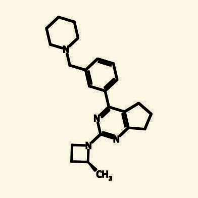 C[C@H]1CCN1c1nc2c(c(-c3cccc(CN4CCCCC4)c3)n1)CCC2